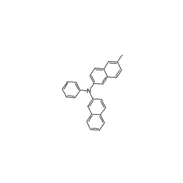 Cc1ccc2cc(N(c3ccccc3)c3ccc4ccccc4c3)ccc2c1